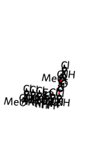 CCCC(C)(C)C(=O)Nc1ccc(Cl)cc1.CCCC(C)(C)C(=O)Nc1ccc(Cl)cc1.CCSC(=O)N1CCCCCC1.CCSC(=O)N1CCCCCC1.CN(C)C(=O)Nc1ccc(Cl)cc1.CN(C)C(=O)Nc1ccc(Cl)cc1.CON(C)C(=O)Nc1ccc(Cl)cc1.CON(C)C(=O)Nc1ccc(Cl)cc1